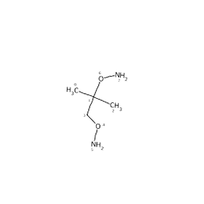 CC(C)(CON)ON